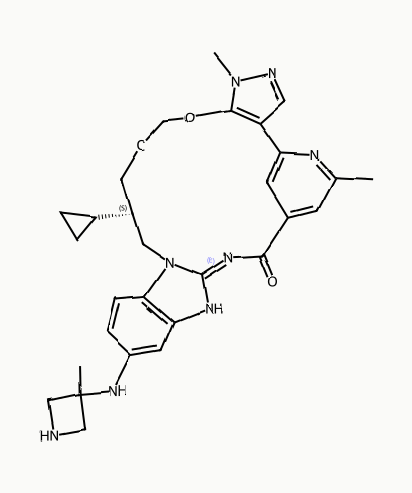 Cc1cc2cc(n1)-c1cnn(C)c1OCCC[C@@H](C1CC1)CN1/C(=N/C2=O)Nc2cc(NC3(C)CNC3)ccc21